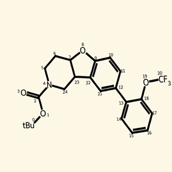 CC(C)(C)OC(=O)N1CCC2Oc3ccc(-c4ccccc4OC(F)(F)F)cc3C2C1